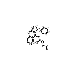 C=CCOC(=O)[C]=C(c1cccnc1)N1C(=O)OC[C@H]1c1ccccc1